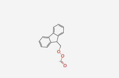 O=[C]OOCC1c2ccccc2-c2ccccc21